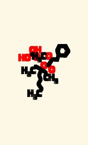 CCCCCC(CC)(CC)OC(=O)C(=Cc1ccccc1)OC.O=C(O)O